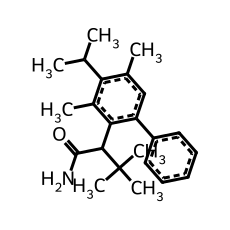 Cc1cc(-c2ccccc2)c(C(C(N)=O)C(C)(C)C)c(C)c1C(C)C